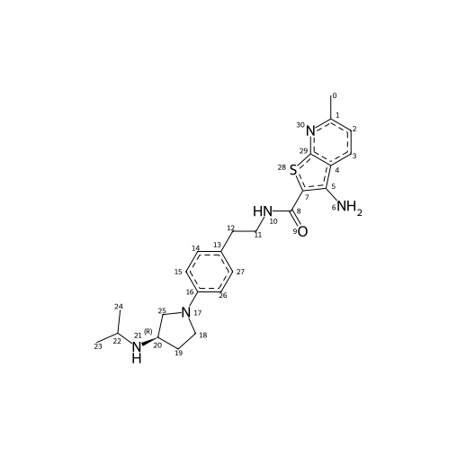 Cc1ccc2c(N)c(C(=O)NCCc3ccc(N4CC[C@@H](NC(C)C)C4)cc3)sc2n1